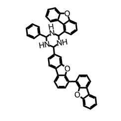 c1ccc(C2NC(c3ccc4c(c3)oc3c(-c5cccc6c5oc5ccccc56)cccc34)NC(c3cccc4oc5ccccc5c34)N2)cc1